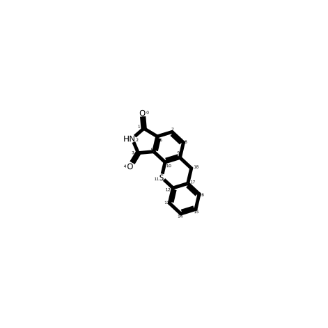 O=C1NC(=O)c2c1ccc1c2Sc2ccccc2C1